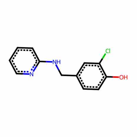 Oc1ccc(CNc2ccccn2)cc1Cl